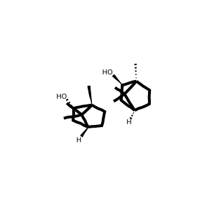 CC1(C)[C@@H]2CC[C@@]1(C)[C@@H](O)C2.CC1(C)[C@H]2CC[C@]1(C)[C@H](O)C2